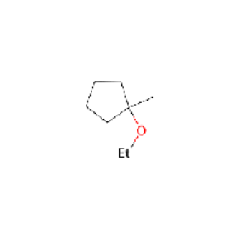 CCOC1(C)CCCC1